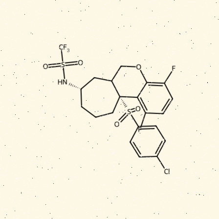 O=S(=O)(N[C@H]1CCC[C@]2(S(=O)(=O)c3ccc(Cl)cc3)c3c(F)ccc(F)c3OCC2C1)C(F)(F)F